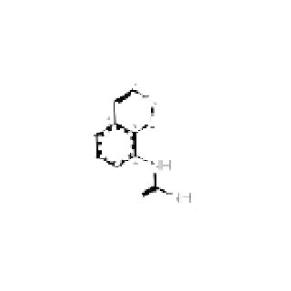 NC(=S)Nc1cccc2c1SNC=C2